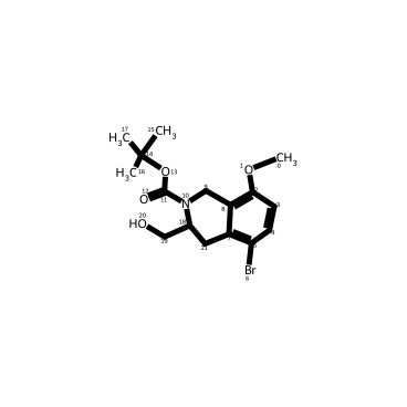 COc1ccc(Br)c2c1CN(C(=O)OC(C)(C)C)C(CO)C2